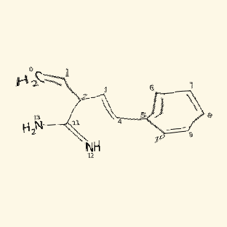 C=CC(C=Cc1ccccc1)C(=N)N